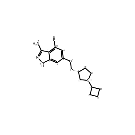 Nc1n[nH]c2cc(OC[C@@H]3CCN(C4CCC4)C3)cc(F)c12